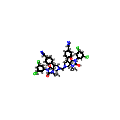 CN1C(=O)N(c2cc(Cl)cc(Cl)c2)C(=O)[C@]12CN(CN1CC(c3ccc(C#N)cc3)[C@]3(C1)C(=O)N(c1cc(Cl)cc(Cl)c1)C(=O)N3C)CC2c1ccc(C#N)cc1